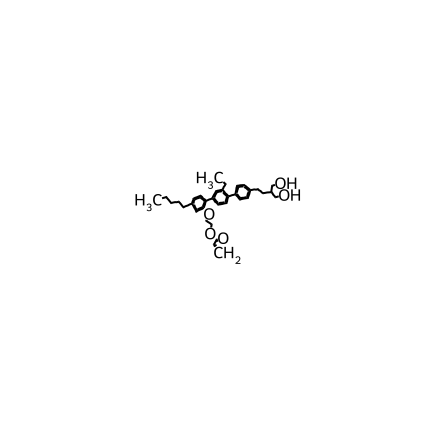 C=CC(=O)OCCOc1cc(CCCCC)ccc1-c1ccc(-c2ccc(CCC(CO)CO)cc2)c(CC)c1